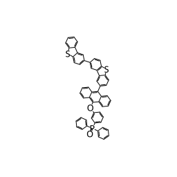 O=P(c1ccccc1)(c1ccccc1)c1cccc(Oc2c3ccccc3c(-c3ccc4sc5ccc(-c6ccc7sc8ccccc8c7c6)cc5c4c3)c3ccccc23)c1